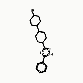 CCC1CCC(C2CCC(c3n[nH]c(-c4ccccc4)n3)CC2)CC1